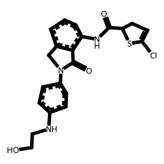 O=C(Nc1cccc2c1C(=O)N(c1ccc(NCCO)cc1)C2)C1CC=C(Cl)S1